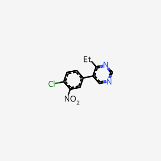 CCc1ncncc1-c1ccc(Cl)c([N+](=O)[O-])c1